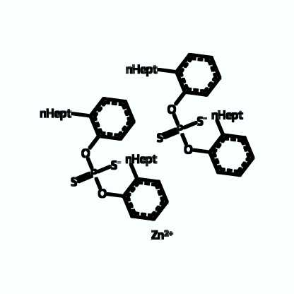 CCCCCCCc1ccccc1OP(=S)([S-])Oc1ccccc1CCCCCCC.CCCCCCCc1ccccc1OP(=S)([S-])Oc1ccccc1CCCCCCC.[Zn+2]